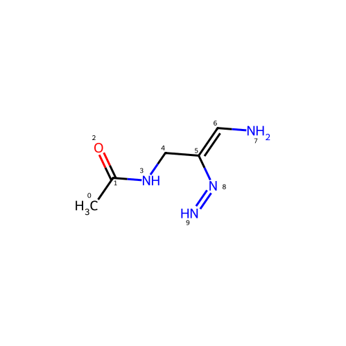 CC(=O)NC/C(=C/N)N=N